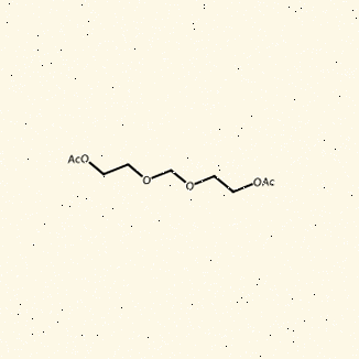 CC(=O)OCCOCOCCOC(C)=O